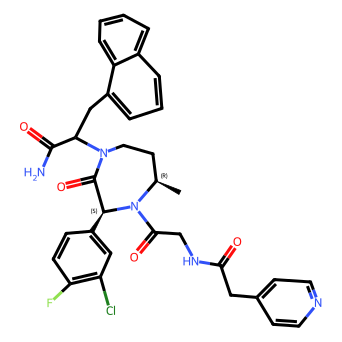 C[C@@H]1CCN(C(Cc2cccc3ccccc23)C(N)=O)C(=O)[C@H](c2ccc(F)c(Cl)c2)N1C(=O)CNC(=O)Cc1ccncc1